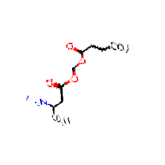 NC(CC(=O)OCOC(=O)CCC(=O)O)C(=O)O